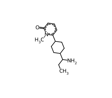 CCC(N)C1CCC(c2cccc(=O)n2C)CC1